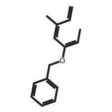 C=C/C(C)=C\C(=C/C)OCc1ccccc1